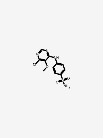 COc1c(Cl)ncnc1Nc1ccc(S(N)(=O)=O)cc1